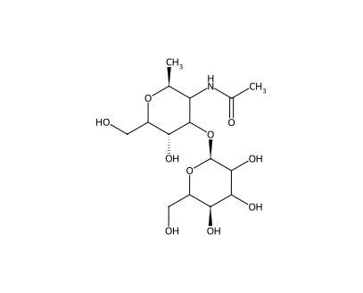 CC(=O)NC1C(O[C@@H]2OC(CO)[C@H](O)C(O)C2O)[C@H](O)C(CO)O[C@H]1C